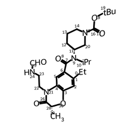 CCc1cc2c(cc1C(=O)N(C(C)C)[C@@H]1CCCN(C(=O)OC(C)(C)C)C1)N(CCNC=O)C(=O)[C@@H](C)O2